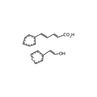 O=C(O)C=CC=Cc1ccccc1.OC=Cc1ccccc1